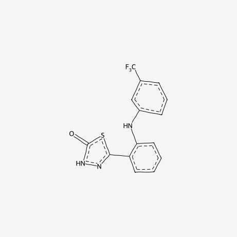 O=c1[nH]nc(-c2ccccc2Nc2cccc(C(F)(F)F)c2)s1